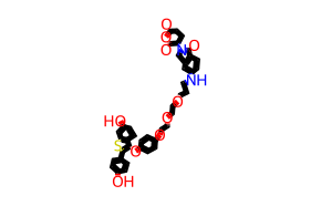 O=C1CCC(N2Cc3cc(NCCCOCCOCCOc4ccc(Oc5c(-c6ccc(O)cc6)sc6cc(O)ccc56)cc4)ccc3C2=O)C(=O)O1